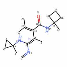 C=N/C(NC1(C)CC1)=C(\C)C(C(=O)NC1(C)CCC1)=C(C)C